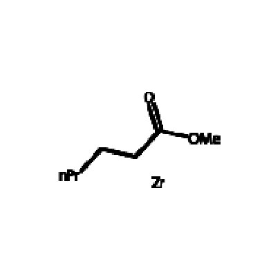 CCCCCC(=O)OC.[Zr]